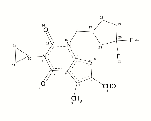 Cc1c(C=O)sc2c1c(=O)n(C1CC1)c(=O)n2CC1CCC(F)(F)C1